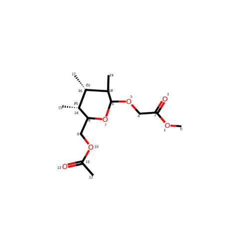 COC(=O)COC1OC(COC(C)=O)[C@H](C)[C@H](C)C1C